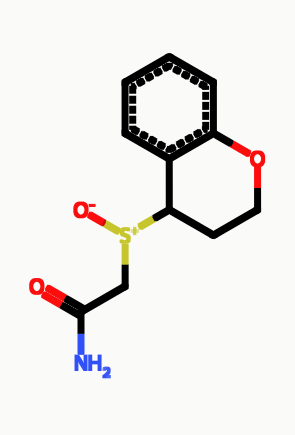 NC(=O)C[S+]([O-])C1CCOc2ccccc21